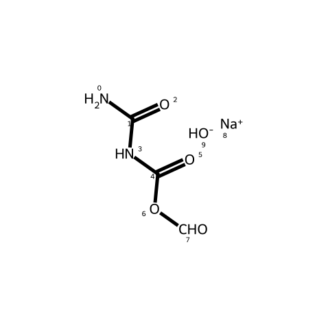 NC(=O)NC(=O)OC=O.[Na+].[OH-]